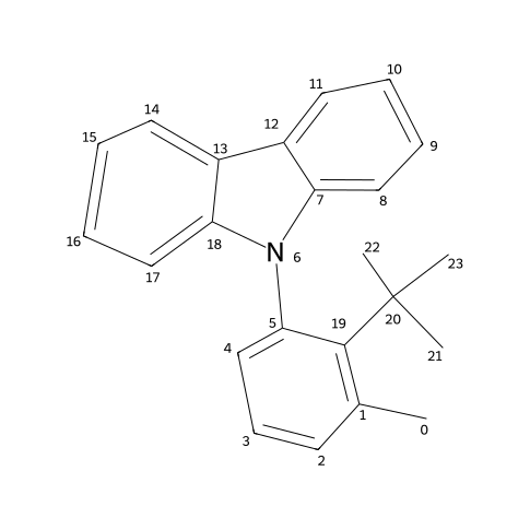 Cc1cccc(-n2c3ccccc3c3ccccc32)c1C(C)(C)C